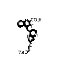 COCCOc1cnc2c(Cc3c(F)c(C(=O)O)nc4ccccc34)ccnc2c1